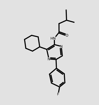 CC(C)CC(=O)Nc1ncc(-c2ccc(F)cc2)nc1C1CCCCC1